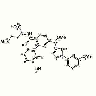 COc1cccc(-c2ccc(C(OC)c3ccc(C(=O)NC(CCSC)C(=O)O)c(-c4ccccc4C)c3)o2)c1.[LiH]